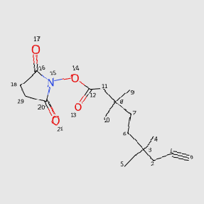 C#CCC(C)(C)CCC(C)(C)CC(=O)ON1C(=O)CCC1=O